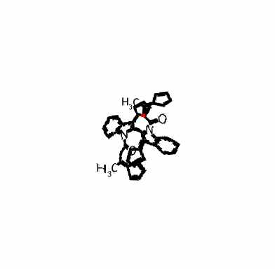 CC(CC(=O)n1/c(=c2\c(=C3C=CC=C3)c3ccccc3n2C(=O)CC(C)=C2C=CC=C2)c(=C2C=CC=C2)c2ccccc21)=C1C=CC=C1